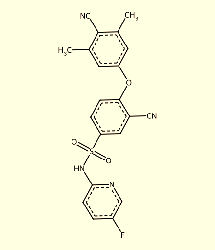 Cc1cc(Oc2ccc(S(=O)(=O)Nc3ccc(F)cn3)cc2C#N)cc(C)c1C#N